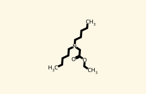 CCCCCN(CCCCC)CC(=O)OCC